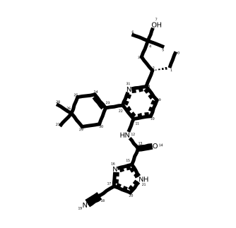 CC[C@@H](CC(C)(C)O)c1ccc(NC(=O)c2nc(C#N)c[nH]2)c(C2=CCC(C)(C)CC2)n1